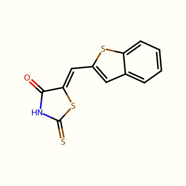 O=C1NC(=S)S/C1=C\c1cc2ccccc2s1